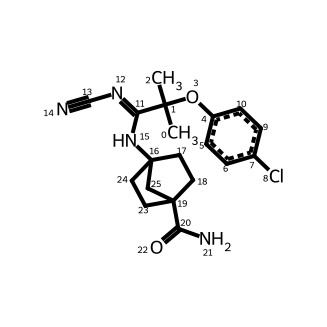 CC(C)(Oc1ccc(Cl)cc1)/C(=N/C#N)NC12CCC(C(N)=O)(CC1)C2